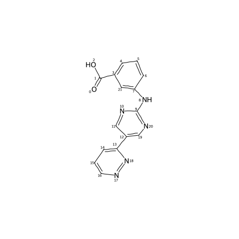 O=C(O)c1cccc(Nc2ncc(-c3cccnn3)cn2)c1